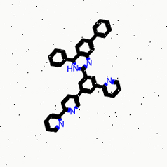 c1ccc(-c2ccc3c(c2)N=C(c2cc(-c4ccc(-c5ccccn5)nc4)cc(-c4ccccn4)c2)NC3c2ccccc2)cc1